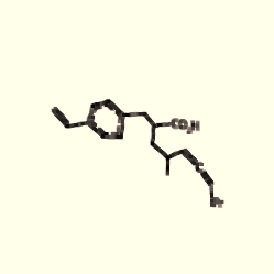 C=Cc1ccc(CC(CC(C)C=C=CC(C)C)C(=O)O)cc1